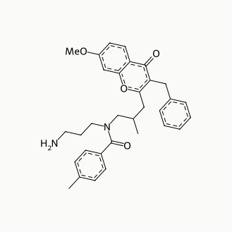 COc1ccc2c(=O)c(Cc3ccccc3)c(CC(C)CN(CCCN)C(=O)c3ccc(C)cc3)oc2c1